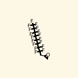 FC(F)(F)C(F)(F)C(F)(F)C(F)(F)C(F)(F)C(F)(F)C(F)(F)C(F)(F)C[C@@H]1CO1